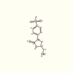 CS(=O)(=O)c1ccc(N2CC(CO)OC2=O)cc1